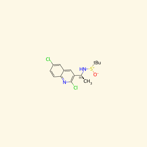 C[C@H](N[S+]([O-])C(C)(C)C)c1cc2cc(Cl)ccc2nc1Cl